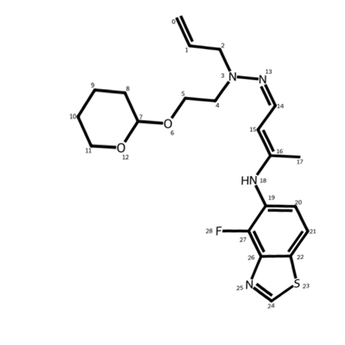 C=CCN(CCOC1CCCCO1)/N=C\C=C(/C)Nc1ccc2scnc2c1F